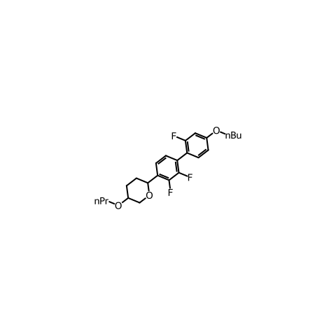 CCCCOc1ccc(-c2ccc(C3CCC(OCCC)CO3)c(F)c2F)c(F)c1